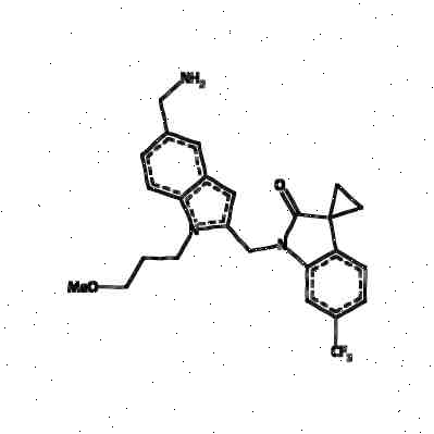 COCCCn1c(CN2C(=O)C3(CC3)c3ccc(C(F)(F)F)cc32)cc2cc(CN)ccc21